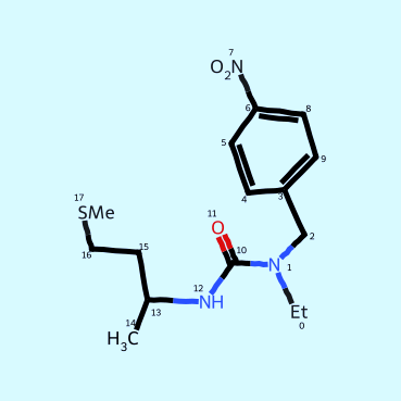 CCN(Cc1ccc([N+](=O)[O-])cc1)C(=O)NC(C)CCSC